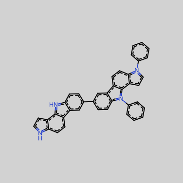 c1ccc(-n2ccc3c2ccc2c4cc(-c5ccc6[nH]c7c8cc[nH]c8ccc7c6c5)ccc4n(-c4ccccc4)c23)cc1